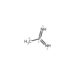 CP(=N)=N